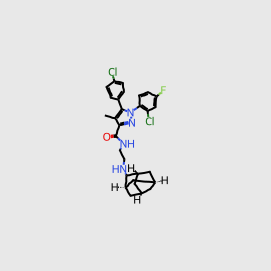 Cc1c(C(=O)NCCNC2[C@H]3C[C@@H]4C[C@@H](C[C@H]2C4)C3)nn(-c2ccc(F)cc2Cl)c1-c1ccc(Cl)cc1